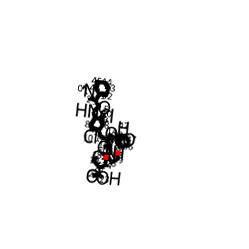 Cn1cc(C(=O)Nc2cc(Cl)c(CC(=O)C(O[C@H]3CC[C@H](C(=O)O)CC3)(N3CCCC3)N3C[C@H]4C[C@H]3CO4)cc2Cl)c2ccccc21